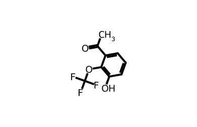 CC(=O)c1cccc(O)c1OC(F)(F)F